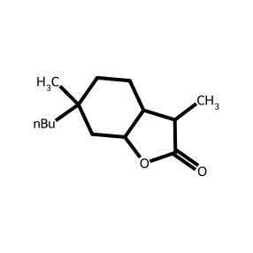 CCCCC1(C)CCC2C(C1)OC(=O)C2C